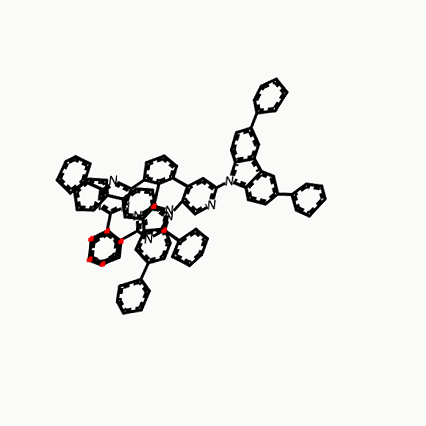 c1ccc(-c2ccc3c(c2)c2cc(-c4ccccc4)ccc2n3-c2cc(-c3cccc(-c4nc(-c5ccccc5)nc(-c5ccccc5)n4)c3-c3nc(-c4ccccc4)nc(-c4ccccc4)n3)c(-n3c4ccc(-c5ccccc5)cc4c4cc(-c5ccccc5)ccc43)cn2)cc1